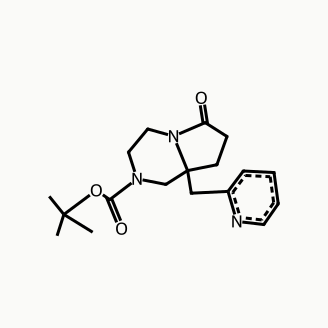 CC(C)(C)OC(=O)N1CCN2C(=O)CCC2(Cc2ccccn2)C1